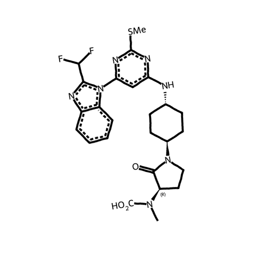 CSc1nc(N[C@H]2CC[C@H](N3CC[C@@H](N(C)C(=O)O)C3=O)CC2)cc(-n2c(C(F)F)nc3ccccc32)n1